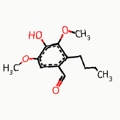 CCCCc1c(C=O)cc(OC)c(O)c1OC